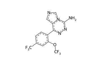 Nc1nnc(-c2ccc(C(F)(F)F)cc2OC(F)(F)F)c2cncn12